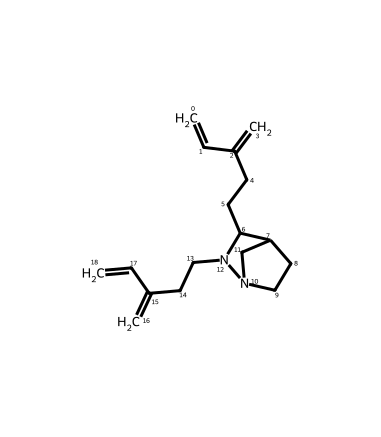 C=CC(=C)CCC1C2CCN(C2)N1CCC(=C)C=C